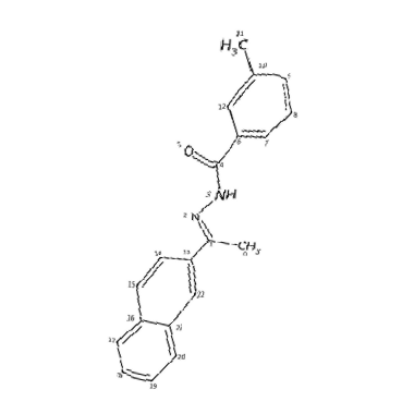 CC(=NNC(=O)c1cccc(C)c1)c1ccc2ccccc2c1